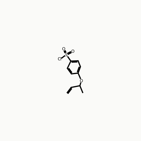 C=CC(C)Oc1ccc(S(=O)(=O)Cl)cc1